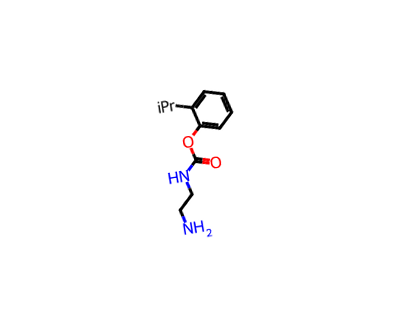 CC(C)c1ccccc1OC(=O)NCCN